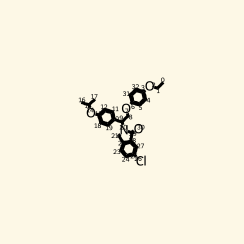 CCOc1ccc(OCC(c2ccc(OC(C)C)cc2)N2Cc3ccc(Cl)cc3C2=O)cc1